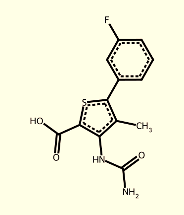 Cc1c(-c2cccc(F)c2)sc(C(=O)O)c1NC(N)=O